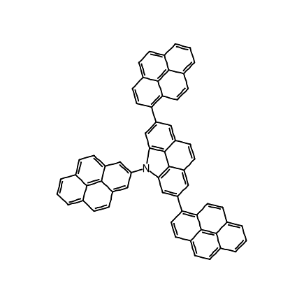 c1cc2ccc3cc(-n4c5cc(-c6ccc7ccc8cccc9ccc6c7c89)cc6ccc7cc(-c8ccc9ccc%10cccc%11ccc8c9c%10%11)cc4c7c65)cc4ccc(c1)c2c34